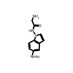 CC(=O)Nc1ccc2c(ccn2NC(=O)CN)c1